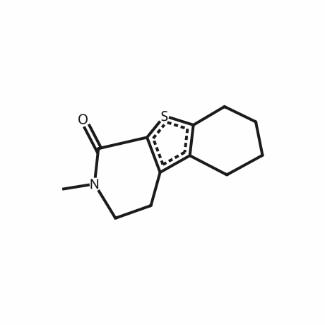 CN1CCc2c(sc3c2CCCC3)C1=O